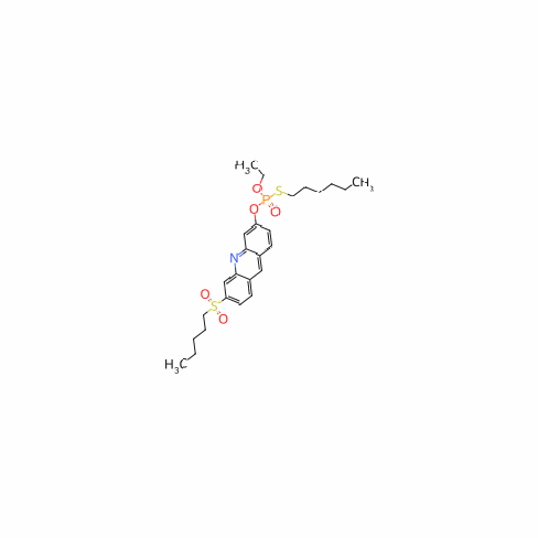 CCCCCCSP(=O)(OCC)Oc1ccc2cc3ccc(S(=O)(=O)CCCCC)cc3nc2c1